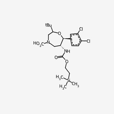 CC(C)(C)C1CN(C(=O)O)C[C@@H](NC(=O)OCC[Si](C)(C)C)[C@H](c2ccc(Cl)c(Cl)c2)O1